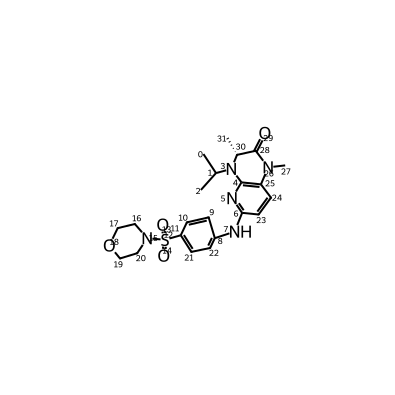 CC(C)N1c2nc(Nc3ccc(S(=O)(=O)N4CCOCC4)cc3)ccc2N(C)C(=O)[C@H]1C